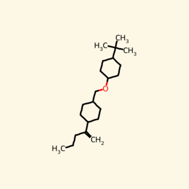 C=C(CCC)C1CCC(COC2CCC(C(C)(C)C)CC2)CC1